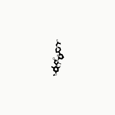 COc1cc(C)c([C@H]2CC(=O)N(c3cccc(C4CCN(CC(F)I)CC4)n3)[C@H]2C)c(F)c1